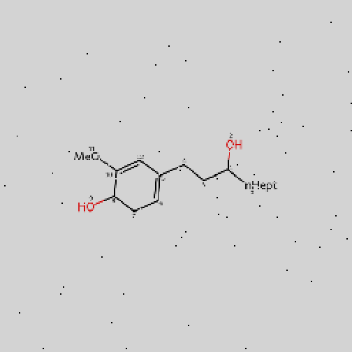 CCCCCCCC(O)CCC1=CCC(O)C(OC)=C1